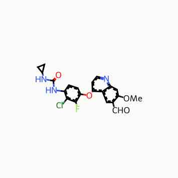 COc1cc2nccc(Oc3ccc(NC(=O)NC4CC4)c(Cl)c3F)c2cc1C=O